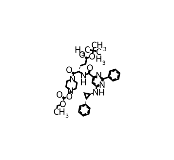 CCOC(=O)ON1CCN(C(=O)[C@H](CCC(=O)OC(C)(C)C)NC(=O)c2cc(N[C@@H]3C[C@H]3c3ccccc3)nc(-c3ccccc3)n2)CC1